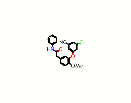 COc1ccc(CC(=O)Nc2ccccc2)cc1Oc1cc(Cl)cc(C#N)c1